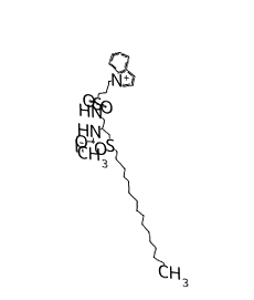 CCCCCCCCCCCCCCCCSCC(CNS(=O)(=O)CCC[n+]1cccc2ccccc21)NC(=O)OC.[I-]